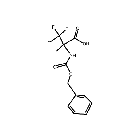 CC(NC(=O)OCc1ccccc1)(C(=O)O)C(F)(F)F